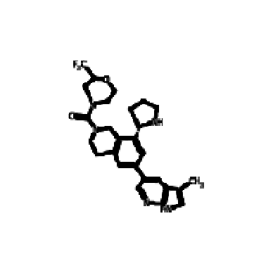 Cc1c[nH]c2ncc(-c3cc4c(c([C@@H]5CCCN5)c3)CN(C(=O)N3CCOC(C(F)(F)F)C3)CC4)cc12